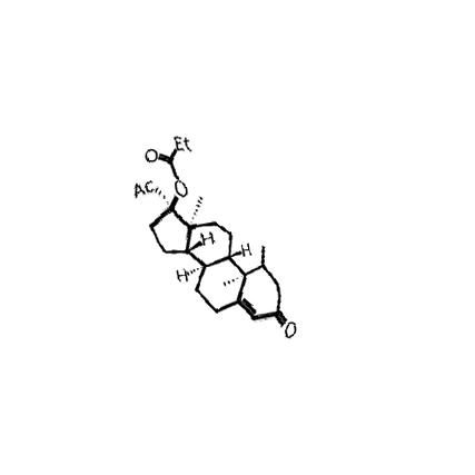 CCC(=O)O[C@]1(C(C)=O)CC[C@H]2[C@@H]3CCC4=CC(=O)CC(C)[C@]4(C)[C@H]3CC[C@@]21C